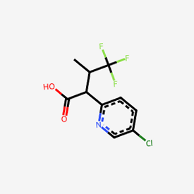 CC(C(C(=O)O)c1ccc(Cl)cn1)C(F)(F)F